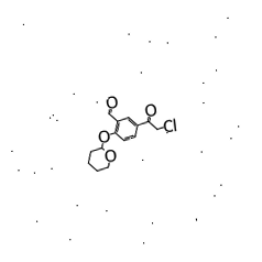 O=Cc1cc(C(=O)CCl)ccc1OC1CCCCO1